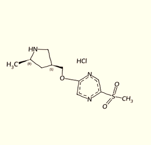 C[C@@H]1C[C@H](COc2cnc(S(C)(=O)=O)cn2)CN1.Cl